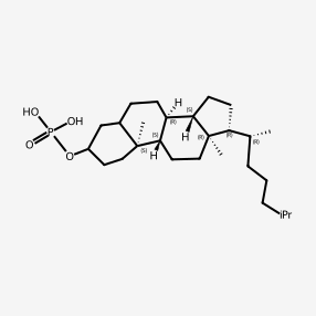 CC(C)CCC[C@@H](C)[C@H]1CC[C@H]2[C@@H]3CCC4CC(OP(=O)(O)O)CC[C@]4(C)[C@H]3CC[C@]12C